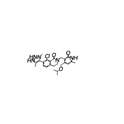 CC1=C(c2ccc3c(c2Cl)C(=O)N(Cc2c(COC(C)C)cc(C)[nH]c2=O)CC3)N(C)NN1